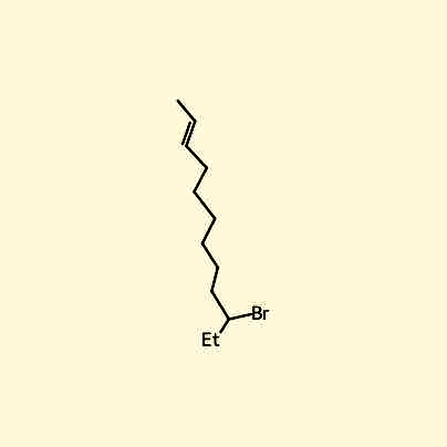 C/C=C/CCCCCCC(Br)CC